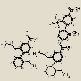 CCC1CCCCN1c1ccc(C(=O)O)cc1COC.CCc1ccccc1-c1ccc(C(=O)O)cc1COC.Cc1ccccc1-c1ccc(C(=O)O)cc1C(F)(F)F